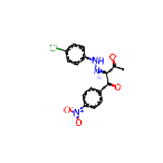 CC(=O)/C(=N\Nc1ccc(Cl)cc1)C(=O)c1ccc([N+](=O)[O-])cc1